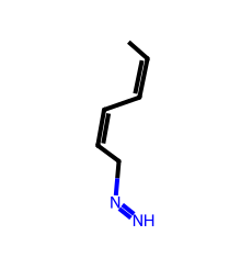 C/C=C\C=C/CN=N